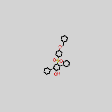 O=S(=O)(c1ccc(OCc2ccccc2)cc1)c1cc(-c2ccccc2)c(O)cc1-c1ccccc1